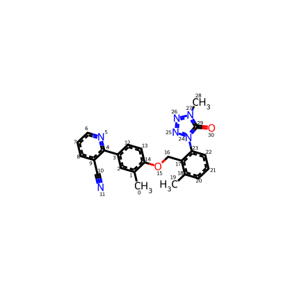 Cc1cc(-c2ncccc2C#N)ccc1OCc1c(C)cccc1-n1nnn(C)c1=O